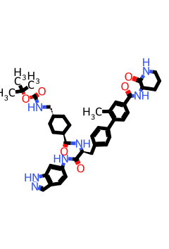 Cc1cc(C(=O)NC2CCCNC2=O)ccc1-c1ccc(C[C@H](NC(=O)[C@H]2CC[C@H](CNC(=O)OC(C)(C)C)CC2)C(=O)Nc2ccc3cn[nH]c3c2)cc1